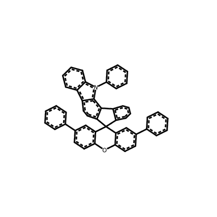 c1ccc(-c2ccc3c(c2)C2(c4cc(-c5ccccc5)ccc4O3)c3ccccc3-c3c2ccc2c4ccccc4n(-c4ccccc4)c32)cc1